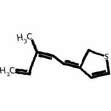 C=C/C(C)=C\C=C1\C=CSC1